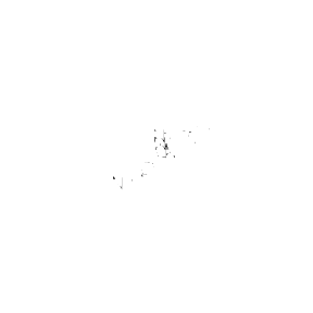 O=Cc1cc(-c2cnn3cc(-c4ccc(OCCN5CCCCC5)cc4)cnc23)cs1